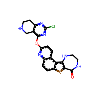 O=C1NCCNc2c1sc1ccc3nc(Oc4nc(Cl)nc5c4CNCC5)ccc3c21